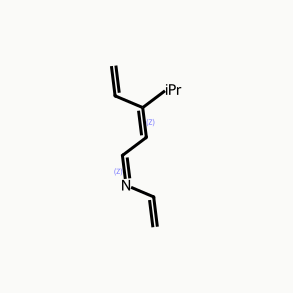 C=C/N=C\C=C(/C=C)C(C)C